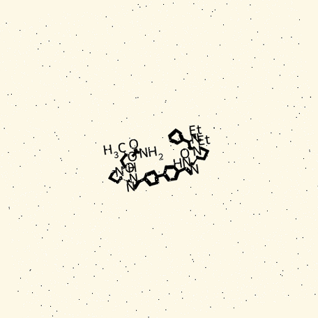 CCN(CC)[C@@H](C(=O)N1CCC[C@H]1c1ncc(-c2ccc(-c3ccc(-c4cnc([C@@H]5CCCN5C(=O)C[C@H](C)OC(N)=O)[nH]4)cc3)cc2)[nH]1)c1ccccc1